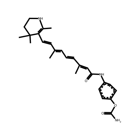 CC1=C(/C=C/C(C)=C/C=C/C(C)=C/C(=O)Nc2ccc(OC(N)=O)cc2)C(C)(C)CCN1